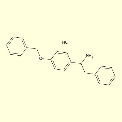 Cl.NC(Cc1ccccc1)c1ccc(OCc2ccccc2)cc1